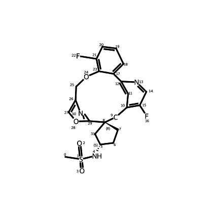 CS(=O)(=O)N[C@H]1CC[C@@]2(Cc3cc(ncc3F)-c3cccc(F)c3OCc3coc2n3)C1